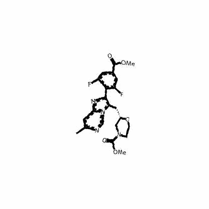 COC(=O)c1cc(F)c(-c2nc3cc(C)ncn3c2C[C@H]2CN(C(=O)OC)CCO2)c(F)c1